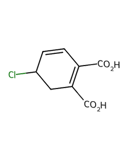 O=C(O)C1=C(C(=O)O)CC(Cl)C=C1